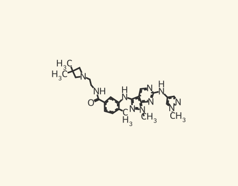 Cc1ccc(C(=O)NCCN2CC(C)(C)C2)cc1Nc1nn(C)c2nc(Nc3cnn(C)c3)ncc12